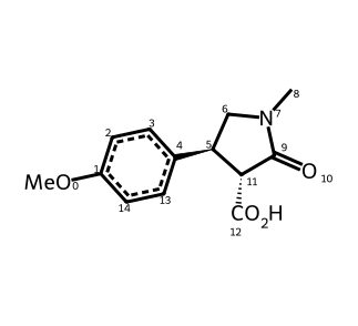 COc1ccc([C@H]2CN(C)C(=O)[C@@H]2C(=O)O)cc1